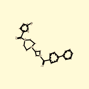 O=C(c1ccc(-c2ccccc2)cc1)N1CC(N2CCN(C(=O)c3ccc(Br)s3)CC2)C1